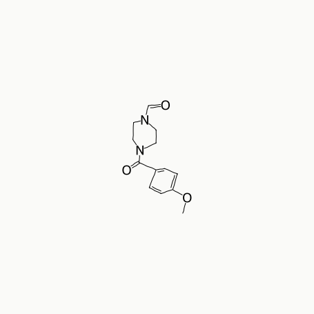 COc1ccc(C(=O)N2CCN(C=O)CC2)cc1